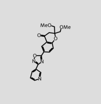 COCC1(COC)CC(=O)c2cc(-c3nc(-c4cccnc4)no3)ccc2O1